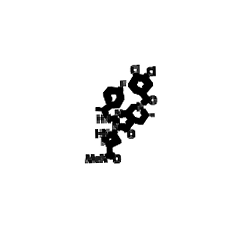 CNC(=O)c1cc(-n2c(N[C@@H](C)c3ccc(F)cc3)nc3c(c2=O)C[C@@H](C)N(C(=O)c2ccc(Cl)c(Cl)c2)C3)[nH]n1